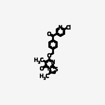 Cc1c(OCc2ccc(C(=O)c3ccc(Cl)nc3)cc2)nc2scc(C)n2c1=O